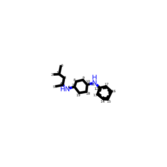 CC(C)CC(C)NC1CCC(Nc2ccccc2)CC1